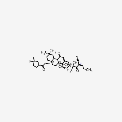 CC/C=C(/C#N)C(=O)C(C)(C)[C@@H]1CC[C@]2(C)C(=CC(=O)C3C4CC(C)(C)CC[C@]4(CCC(=O)N4CCC(F)(F)C4)CC[C@]32C)C1